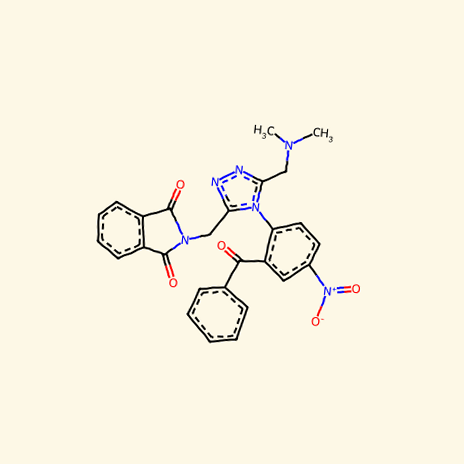 CN(C)Cc1nnc(CN2C(=O)c3ccccc3C2=O)n1-c1ccc([N+](=O)[O-])cc1C(=O)c1ccccc1